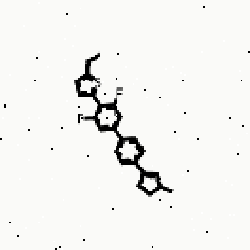 CCc1ccc(-c2c(F)cc(-c3ccc(C4=CC(C)CC4)cc3)cc2F)s1